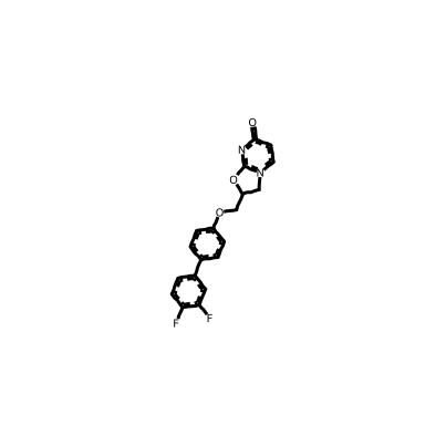 O=c1ccn2c(n1)OC(COc1ccc(-c3ccc(F)c(F)c3)cc1)C2